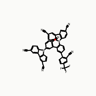 N#Cc1ccc2c(c1)c1cc(C#N)ccc1n2-c1ccc(C#N)c(-c2cc(-c3ccc(C(F)(F)F)cc3C#N)ccc2-n2c3ccc(C#N)cc3c3cc(C#N)ccc32)c1